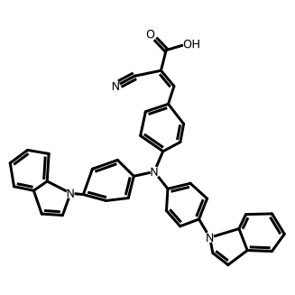 N#C/C(=C\c1ccc(N(c2ccc(-n3ccc4ccccc43)cc2)c2ccc(-n3ccc4ccccc43)cc2)cc1)C(=O)O